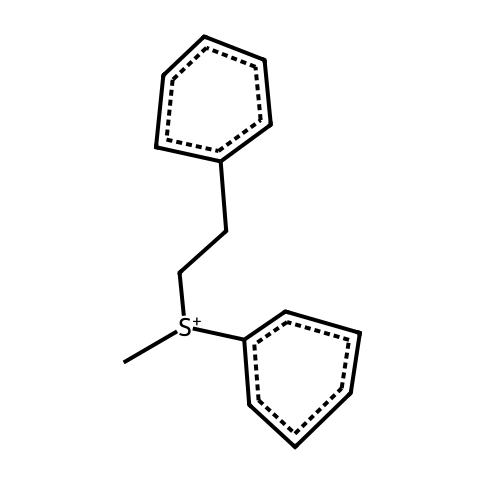 C[S+](CCc1ccccc1)c1ccccc1